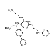 NCCCC[C@@H](NC(=O)CCCNc1ccccn1)C(=O)NC(CC(=O)O)c1ccc(-c2ccccc2)cc1